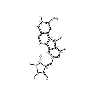 CSc1cc2c(ccc3c4cc(C=C5C(=O)N(C)N(C)C5=O)cc(C)c4n(C)c23)cc1C